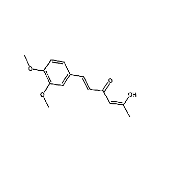 COc1ccc(/C=C/C(=O)/C=C(/C)O)cc1OC